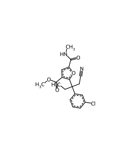 CCC(CC#N)(c1cccc(Cl)c1)c1oc(C(=O)NC)cc1C(=O)OC